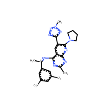 Cc1nc(N[C@H](C)c2cc([N+](=O)[O-])cc(C(F)(F)F)c2)c2cc(-c3nnn(C)n3)c(N3CCCC3)nc2n1